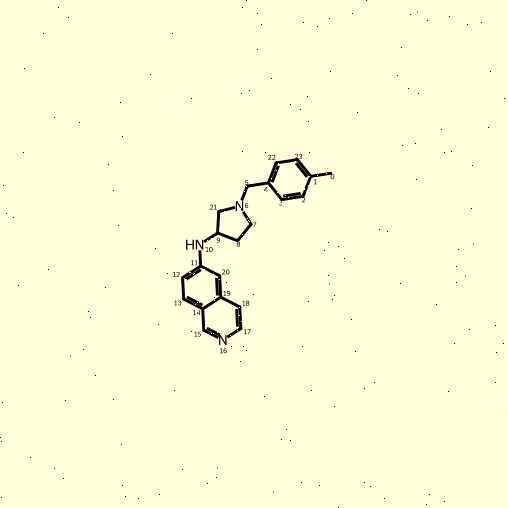 Cc1ccc(CN2CCC(Nc3ccc4cnccc4c3)C2)cc1